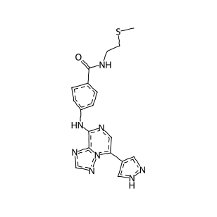 CSCCNC(=O)c1ccc(Nc2ncc(-c3cn[nH]c3)n3ncnc23)cc1